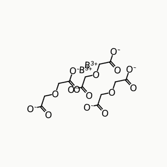 O=C([O-])COCC(=O)[O-].O=C([O-])COCC(=O)[O-].O=C([O-])COCC(=O)[O-].[B+3].[B+3]